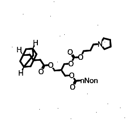 CCCCCCCCCC(=O)OCC(COC(=O)CC12C[C@H]3C[C@@H](C1)C[C@@H](C2)C3)COC(=O)OCCCN1CCCC1